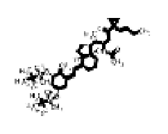 C=C1/C(=C\C=C2/CCC[C@]3(C)[C@@H]([C@H](C)C(CC(=O)C4(C=CCC)CC4)OC(C)=O)CC[C@@H]23)C[C@@H](O[Si](C)(C)C(C)(C)C)C[C@@H]1O[Si](C)(C)C(C)(C)C